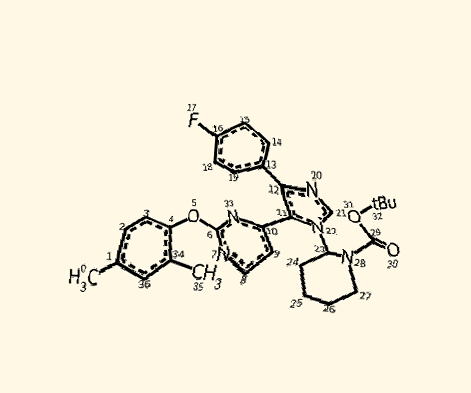 Cc1ccc(Oc2nccc(-c3c(-c4ccc(F)cc4)ncn3C3CCCCN3C(=O)OC(C)(C)C)n2)c(C)c1